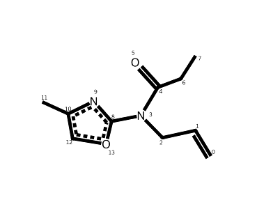 C=CCN(C(=O)CC)c1nc(C)co1